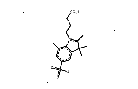 CC1=[N+](CCCC(=O)O)c2c(C)cc(S(=O)(=O)[O-])cc2C1(C)C